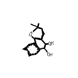 CC1(C)CCC2=C(O1)c1ccccc1C(O)C2O